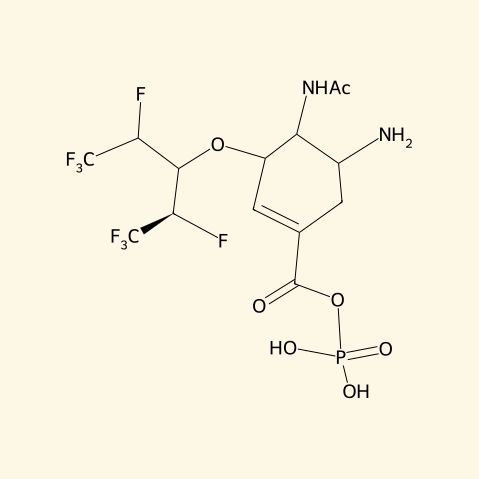 CC(=O)NC1C(N)CC(C(=O)OP(=O)(O)O)=CC1OC(C(F)C(F)(F)F)[C@@H](F)C(F)(F)F